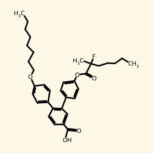 CCCCCCCCOc1ccc(-c2ccc(C(=O)O)cc2-c2ccc(OC(=O)C(C)(F)CCCCC)cc2)cc1